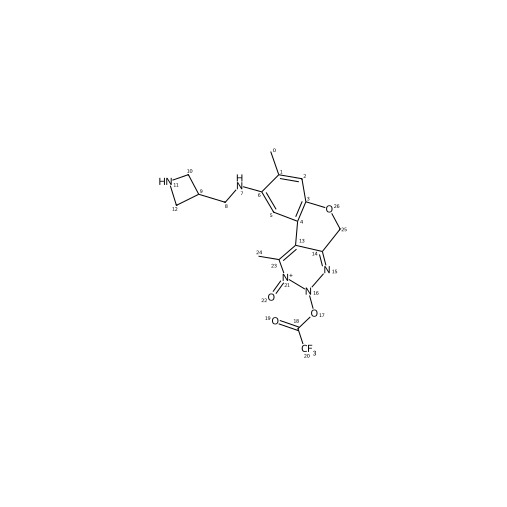 Cc1cc2c(cc1NCC1CNC1)-c1c(nn(OC(=O)C(F)(F)F)[n+](=O)c1C)CO2